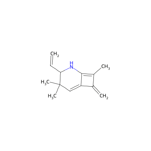 C=CC1NC2=C(C)C(=C)C2=CC1(C)C